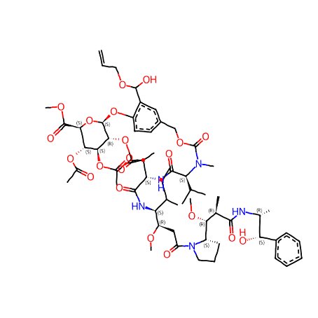 C=CCOC(O)c1cc(COC(=O)N(C)[C@H](C(=O)N[C@H](C(=O)N[C@@H](C(C)CC)[C@@H](CC(=O)N2CCC[C@H]2[C@H](OC)[C@@H](C)C(=O)N[C@H](C)[C@@H](O)c2ccccc2)OC)C(C)C)C(C)C)ccc1O[C@@H]1O[C@H](C(=O)OC)[C@@H](OC(C)=O)[C@H](OC(C)=O)[C@H]1OC(C)=O